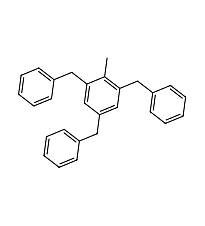 Cc1c(Cc2ccccc2)cc(Cc2ccccc2)cc1Cc1ccccc1